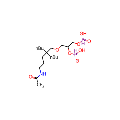 CCCCC(CCCC)(CCCNC(=O)C(F)(F)F)COCC(CO[PH](=O)O)O[PH](=O)O